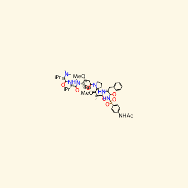 CC[C@H](C)[C@@H]([C@@H](CC(=O)N1CCC[C@H]1[C@H](OC)[C@@H](C)C(=O)N[C@@H](Cc1ccccc1)C(=O)NS(=O)(=O)c1ccc(NC(C)=O)cc1)OC)N(C)C(=O)[C@@H](NC(=O)[C@H](C(C)C)N(C)C)C(C)C